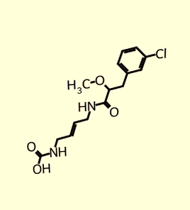 COC(Cc1cccc(Cl)c1)C(=O)NCC=CCNC(=O)O